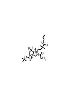 C=CCOC(=O)C(C)(C)CCN1[C@@H]2[C@H](CN1C(N)=O)N(C(=O)OC(C)(C)C)CC2(F)F